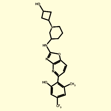 Cc1cc(C(F)(F)F)cc(O)c1-c1ccc2oc(NC3CCCN(C4CC(O)C4)C3)nc2n1